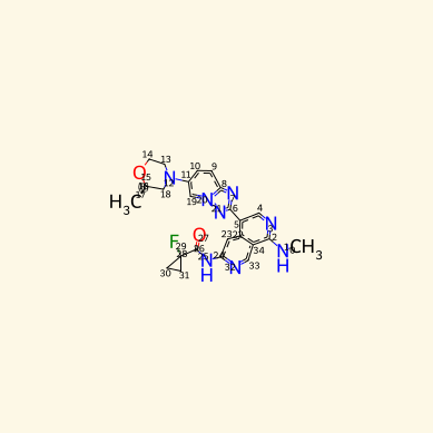 CNc1ncc(-c2nc3ccc(N4CCO[C@H](C)C4)cn3n2)c2cc(NC(=O)C3(F)CC3)ncc12